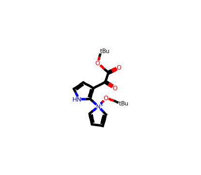 CC(C)(C)OC(=O)C(=O)c1cc[nH]c1[N+]1(OC(C)(C)C)[C]=CC=C1